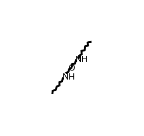 CCCCCCCCNCCCOCCCNCCCCCCCC